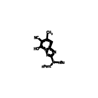 CCCCCN(CCCC)c1nc2cc(C)c(C#N)c(O)n2n1